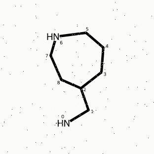 [NH]CC1CCCNCC1